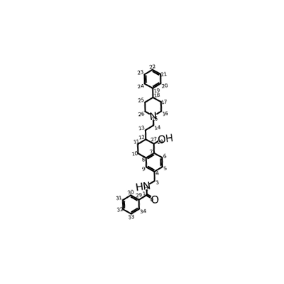 O=C(NCc1ccc2c(c1)CCC(CCN1CCC(c3ccccc3)CC1)C2O)c1ccccc1